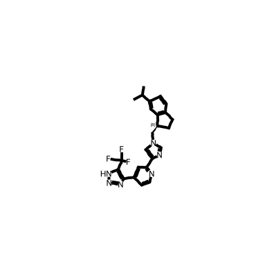 CC(C)c1ccc2c(c1)[C@H](Cn1cnc(-c3cc(-c4nn[nH]c4C(F)(F)F)ccn3)c1)CC2